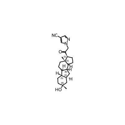 C[C@@]1(O)CC[C@H]2[C@@H](C[C@@H]3[C@@H]2CC[C@]2(C)[C@@H](C(=O)Cn4cc(C#N)cn4)CC[C@@H]32)C1